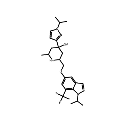 CC1CC(O)(c2ccn(C(C)C)n2)CC(COc2cc(C(F)(F)F)c3c(cnn3C(C)C)c2)N1